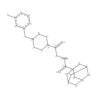 Cc1cccc(CN2CCN(C(=O)CNC(=O)C34CC5CC(CC(C5)C3)C4)CC2)c1